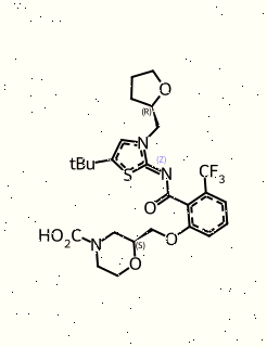 CC(C)(C)c1cn(C[C@H]2CCCO2)/c(=N/C(=O)c2c(OC[C@@H]3CN(C(=O)O)CCO3)cccc2C(F)(F)F)s1